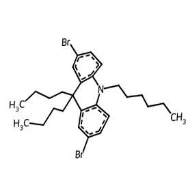 CCCCCCN1c2ccc(Br)cc2C(CCCC)(CCCC)c2cc(Br)ccc21